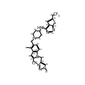 Cc1c(CN2CCC(Nc3ncnc4sc(CC(F)(F)F)cc34)CC2)ccc2c1cc(C#N)n2Cc1cn(C)nn1